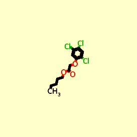 CCCCCOC(=O)COc1cc(Cl)c(Cl)cc1Cl